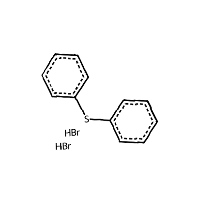 Br.Br.c1ccc(Sc2ccccc2)cc1